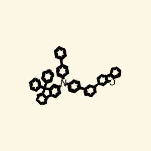 c1ccc(-c2ccc(N(c3ccc(-c4cccc(-c5ccc6c(c5)oc5ccccc56)c4)cc3)c3ccc4c(c3)C(c3ccccc3)(c3ccccc3)c3ccccc3-4)cc2)cc1